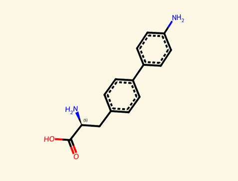 Nc1ccc(-c2ccc(C[C@H](N)C(=O)O)cc2)cc1